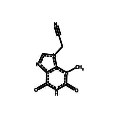 Cn1c(=O)[nH]c(=O)c2ncn(CC#N)c21